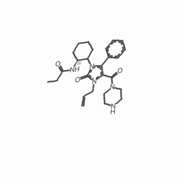 C=CCn1c(C(=O)N2CCNCC2)c(-c2ccccc2)n(C2CCCC[C@@H]2NC(=O)CC)c1=O